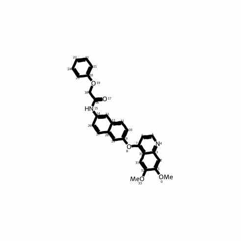 COc1cc2nccc(Oc3ccc4cc(NC(=O)COc5ccccc5)ccc4c3)c2cc1OC